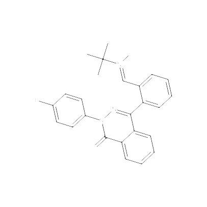 CC(C)(C)/[N+]([O-])=C/c1ccccc1-c1nn(-c2ccc(F)cc2)c(=O)c2ccccc12